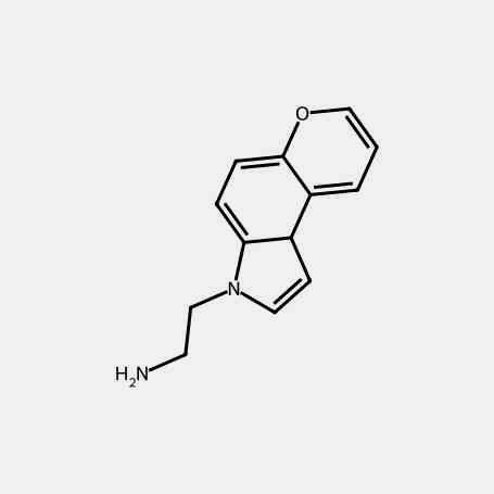 NCCN1C=CC2C3=CC=COC3=CC=C21